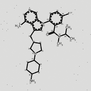 Cc1cncc2c1c(C[C@H]1CCN(C3CCC(N)CC3)C1)cn2-c1ccc(F)cc1C(=O)N(C)C(C)C